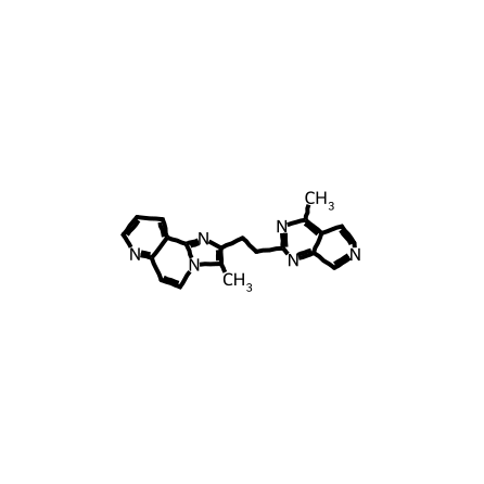 Cc1nc(CCc2nc3c4cccnc4ccn3c2C)nc2cnccc12